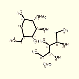 CC(=O)N[C@@H]1[C@@H](O)[C@H](O)[C@@H](CO)O[C@H]1O.O=C[C@H](O)[C@@H](O)[C@@H](O)[C@H](O)CO